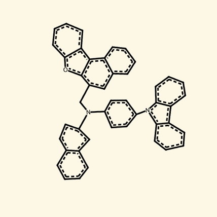 c1ccc2cc(N(Cc3cc4ccccc4c4c3oc3ccccc34)c3ccc(-n4c5ccccc5c5ccccc54)cc3)ccc2c1